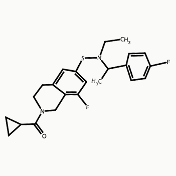 CCN(Sc1cc(F)c2c(c1)CCN(C(=O)C1CC1)C2)C(C)c1ccc(F)cc1